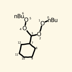 CCCCOOC(OOCCCC)C1CCCCC1